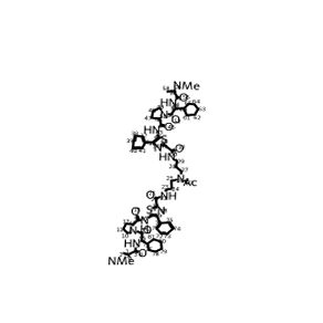 CN[C@@H](C)C(=O)N[C@H](C(=O)N1CCCC1C(=O)Nc1sc(C(=O)NCCCN(CCCNC(=O)c2nc(-c3ccccc3)c(NC(=O)C3CCCN3C(=O)[C@@H](NC(=O)[C@H](C)NC)C3CCCCC3)s2)C(C)=O)nc1-c1ccccc1)C1CCCCC1